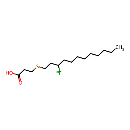 CCCCCCCCCC([18F])CCSCCC(=O)O